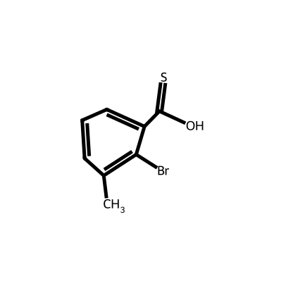 Cc1cccc(C(O)=S)c1Br